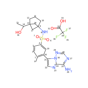 Cc1ccc(S(=O)(=O)NC23CCCC(C(C)O)(C2)C3)cc1-c1cnc2c(N)ncnn12.O=C(O)C(F)(F)F